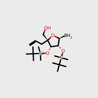 B[C@@H]1O[C@@](CO)(CC=C)[C@@H](O[Si](C)(C)C(C)(C)C)[C@H]1O[Si](C)(C)C(C)(C)C